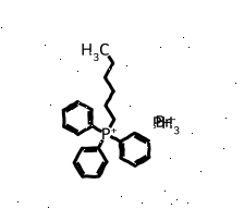 CCCCCC[P+](c1ccccc1)(c1ccccc1)c1ccccc1.P.[Br-]